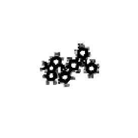 CC1(C)c2ccccc2-c2c(-n3c4ccccc4c4cc5c(cc43)c3ccccc3n5-c3ccccc3)cccc21